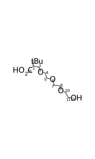 CC(C)(C)C(COCCOCCOCCO)C(=O)O